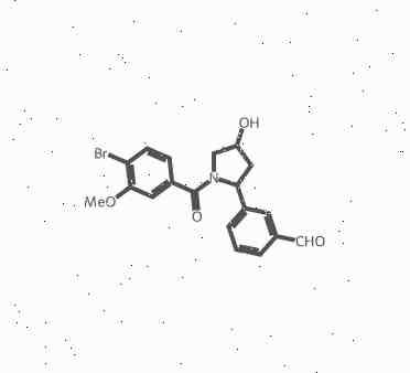 COc1cc(C(=O)N2CC(O)CC2c2cccc(C=O)c2)ccc1Br